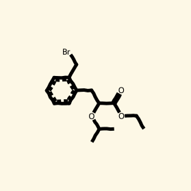 CCOC(=O)C(Cc1ccccc1CBr)OC(C)C